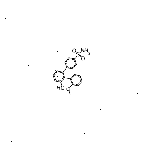 COc1ccccc1-c1c(-c2ccc(S(N)(=O)=O)cc2)[c]ccc1O